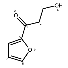 O=C(CCO)c1ccco1